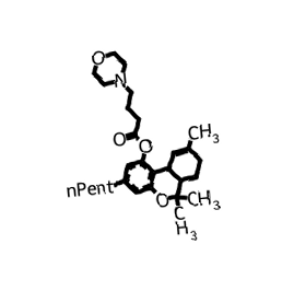 CCCCCc1cc(OC(=O)CCCN2CCOCC2)c2c(c1)OC(C)(C)C1CCC(C)=CC21